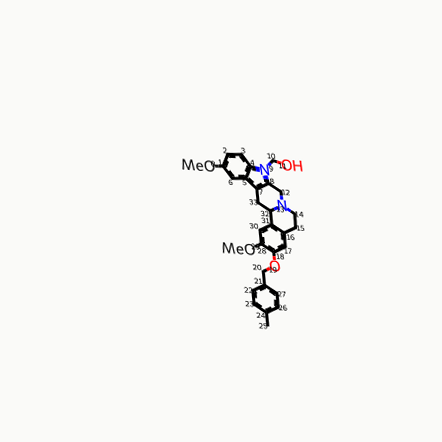 COc1ccc2c(c1)c1c(n2CO)CN2CCc3cc(OCc4ccc(C)cc4)c(OC)cc3C2C1